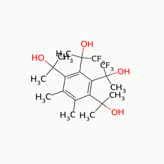 Cc1c(C)c(C(C)(C)O)c(C(C)(O)C(F)(F)F)c(C(C)(O)C(F)(F)F)c1C(C)(C)O